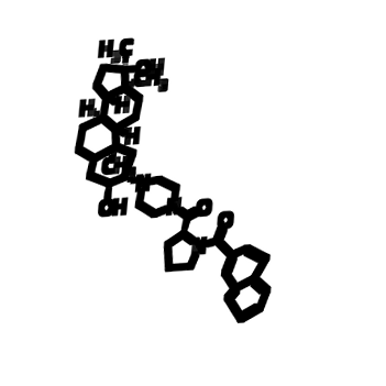 C[C@]12C[C@H](N3CCN(C(=O)[C@@H]4CCCN4C(=O)c4ccc5ccccc5c4)CC3)[C@@H](O)CC1CC[C@@H]1[C@@H]2CC[C@@]2(C)[C@H]1CC[C@@]2(C)O